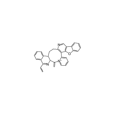 C=CC1=NC2C(=C)[n+]3ccccc3-c3c(ncc4c3oc3ccccc34)CCC2c2ccccc21